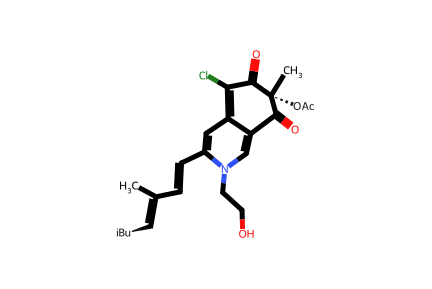 CC[C@H](C)/C=C(C)/C=C/C1=CC2=C(Cl)C(=O)[C@](C)(OC(C)=O)C(=O)C2=CN1CCO